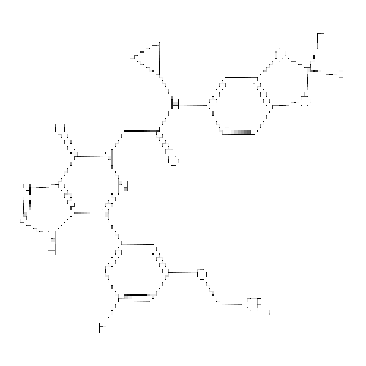 O=C(Cn1nc(-c2cc(F)cc(OCC(F)(F)F)c2)c2[nH]cnc2c1=O)N(c1ccc2c(c1)OC(F)(F)O2)C1CC1